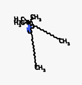 CCCCCCCCCCCCCCCCCCCc1ccnc(-c2cc(CCCCCCCCCCCCCCCC)c[c]([Sn]([CH2]CCC)([CH2]CCC)[CH2]CCC)n2)c1